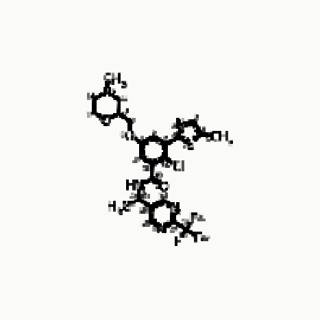 Cc1cnc(-c2cc(OCC3CN(C)CCO3)cc(C(=O)N[C@H](C)c3cnc(C(F)(F)F)nc3)c2Cl)s1